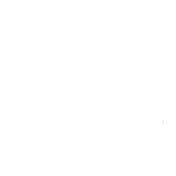 CCCCCCCCCCOCCCCOC(CCC)OC(=O)c1ccc(O)cc1